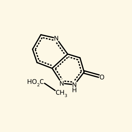 CC(=O)O.O=c1cc2ncccc2n[nH]1